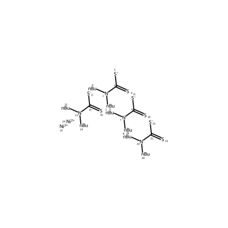 CCCCN(CCCC)C(=S)[S-].CCCCN(CCCC)C(=S)[S-].CCCCN(CCCC)C(=S)[S-].CCCCN(CCCC)C(=S)[S-].[Ni+2].[Ni+2]